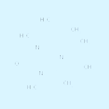 C=C1N(C)C(=O)N(C)C(=C(C)C)N1C(C)C